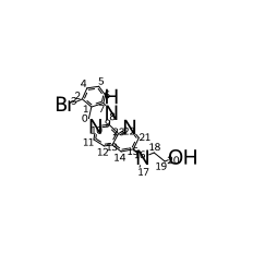 Cc1c(Br)cccc1Nc1nccc2cc(N(C)CCO)cnc12